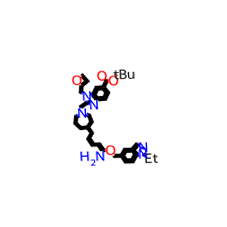 CCn1ncc2cc(CO/C(N)=C/C=C\CC3CCCN(Cc4nc5ccc(C(=O)OC(C)(C)C)cc5n4CC4CCO4)CC3)ccc21